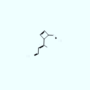 C=C/C=C(\C)C1C=CC1N=C